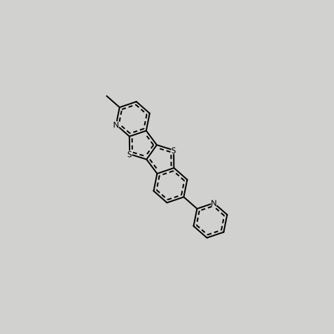 Cc1ccc2c(n1)sc1c3ccc(-c4ccccn4)cc3sc21